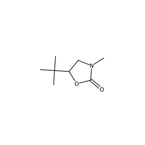 CN1CC(C(C)(C)C)OC1=O